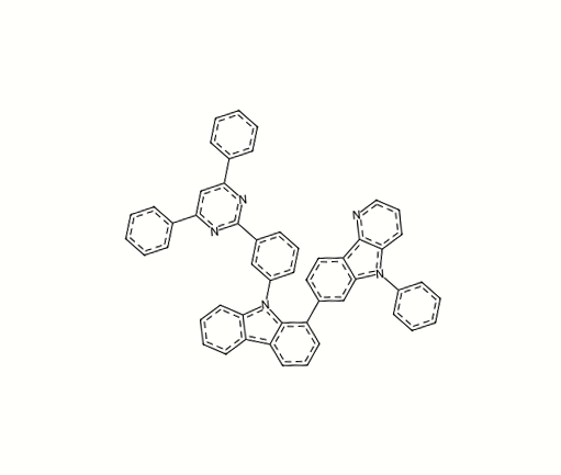 c1ccc(-c2cc(-c3ccccc3)nc(-c3cccc(-n4c5ccccc5c5cccc(-c6ccc7c8ncccc8n(-c8ccccc8)c7c6)c54)c3)n2)cc1